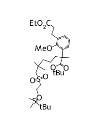 CCOC(=O)CCc1cccc(C(C)(CCCC(C)(C)CS(=O)(=O)CCO[Si](C)(C)C(C)(C)C)C(=O)OC(C)(C)C)c1OC